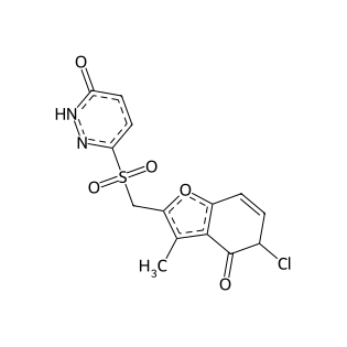 Cc1c(CS(=O)(=O)c2ccc(=O)[nH]n2)oc2c1C(=O)C(Cl)C=C2